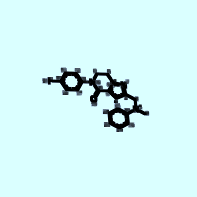 CN(Cc1cc2n(n1)CCN(c1ccc(F)cc1)C2=O)c1ccccc1